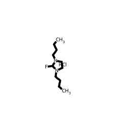 CCCCN1CCN(CCCC)C1F.Cl